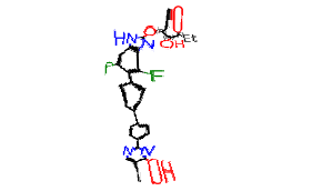 CC[C@H]1OC[C@@H](Oc2nc3c(F)c(-c4ccc(-c5ccc(-c6nccc(O)n6)cc5)cc4)c(F)cc3[nH]2)[C@@H]1O